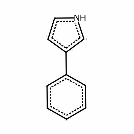 [c]1[nH]ccc1-c1ccccc1